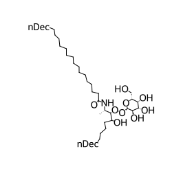 CCCCCCCCCCCCCCCCCCCCCCCCCC(=O)N[C@@H](C)[C@H](OO[C@H]1O[C@H](CO)[C@H](O)[C@H](O)[C@H]1O)[C@@H](O)CCCCCCCCCCCCCC